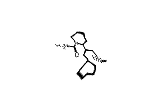 CNCC(CC1CCCC1)C1CCCCN1C(N)=O